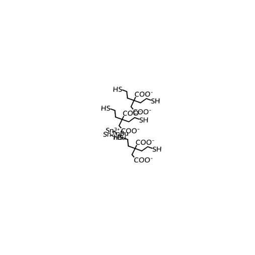 CCC[CH2][Sn+3].CCC[CH2][Sn+3].O=C([O-])CC(CCS)(CCS)C(=O)[O-].O=C([O-])CC(CCS)(CCS)C(=O)[O-].O=C([O-])CC(CCS)(CCS)C(=O)[O-]